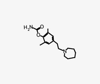 Cc1cc(CCN2CCCCCC2)cc(C)c1OC(N)=O